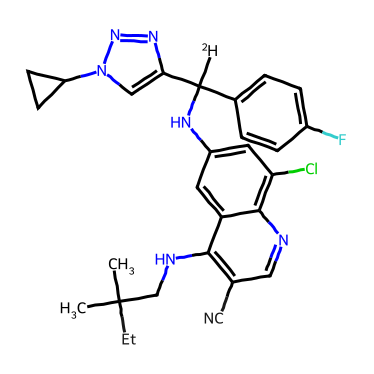 [2H]C(Nc1cc(Cl)c2ncc(C#N)c(NCC(C)(C)CC)c2c1)(c1ccc(F)cc1)c1cn(C2CC2)nn1